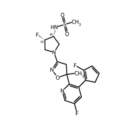 CC1(c2ncc(F)cc2C2=C(F)C=CC2)CC(N2C[C@H](F)[C@H](NS(C)(=O)=O)C2)=NO1